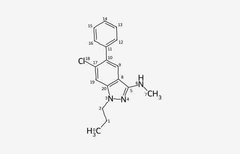 CCCn1nc(NC)c2cc(-c3ccccc3)c(Cl)cc21